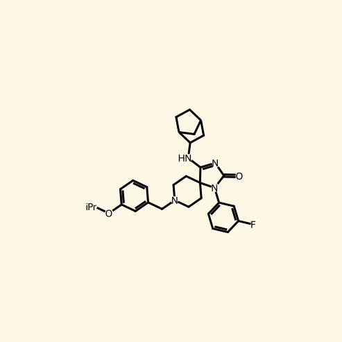 CC(C)Oc1cccc(CN2CCC3(CC2)C(NC2CC4CCC2C4)=NC(=O)N3c2cccc(F)c2)c1